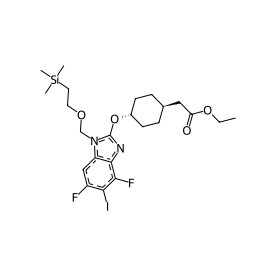 CCOC(=O)C[C@H]1CC[C@H](Oc2nc3c(F)c(I)c(F)cc3n2COCC[Si](C)(C)C)CC1